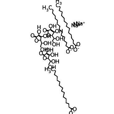 CCCCCCCCCCCCCCCC(=O)[O-].CCCCCCCCCCCCCCCC(=O)[O-].CCCCCCCCCCCCCCCC(=O)[O-].O=C1O[C@H]([C@@H](O)CO)C(O)=C1O.O=C1O[C@H]([C@@H](O)CO)C(O)=C1O.O=C1O[C@H]([C@@H](O)CO)C(O)=C1O.[Na+].[Na+].[Na+]